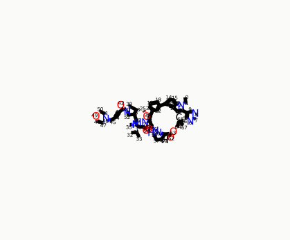 CCn1c(-c2cncnc2)c2c3cc(ccc31)-c1cccc(c1)[C@@H](OC)[C@H](NC(=O)[C@H](C(C)C)N(C)CC1CCN(C(=O)C#CCN3CCOCC3)C1)C(=O)N1CCC[C@H](N1)C(=O)OCC(C)(C)C2